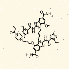 CCC(=O)N1CCN(CCCOc2cc(C(N)=O)cc3nc(NC(=O)c4sc(C)nc4CC)n(C/C=C/Cn4c(NC(=O)c5cc(C)nn5CC)nc5cc(C(N)=O)cc(OC)c54)c23)CC1